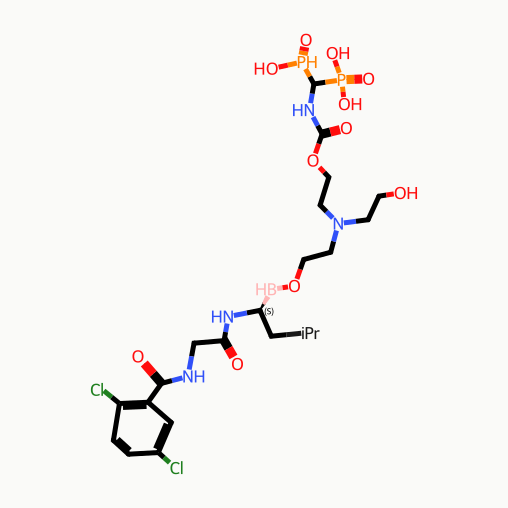 CC(C)C[C@H](BOCCN(CCO)CCOC(=O)NC([PH](=O)O)P(=O)(O)O)NC(=O)CNC(=O)c1cc(Cl)ccc1Cl